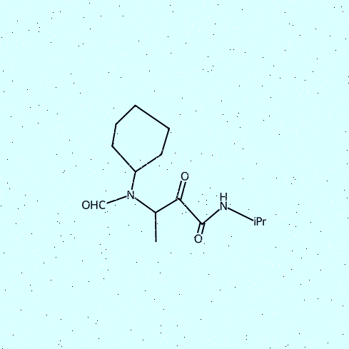 CC(C)NC(=O)C(=O)C(C)N(C=O)C1CCCCC1